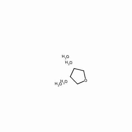 C1CCOC1.O.O.O.O